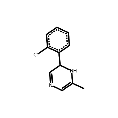 CC1=CN=CC(c2ccccc2Cl)N1